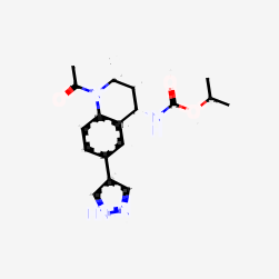 CC(=O)N1c2ccc(-c3cn[nH]c3)cc2[C@@H](NC(=O)OC(C)C)C[C@H]1C